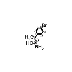 CC(OP(N)O)c1ccc(Br)cc1